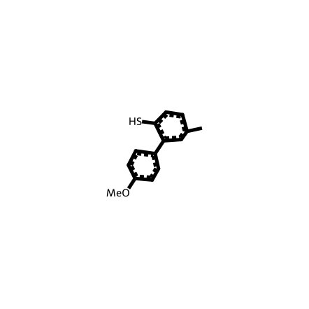 COc1ccc(-c2cc(C)ccc2S)cc1